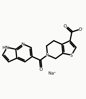 O=C([O-])c1csc2c1CCN(C(=O)c1cnc3[nH]ccc3c1)C2.[Na+]